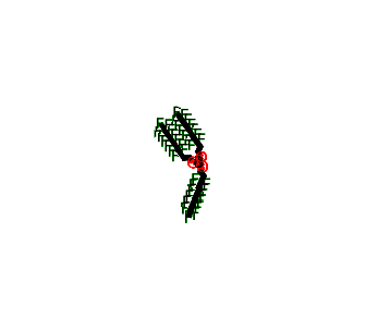 FC(F)(F)C(F)(F)C(F)(F)C(F)(F)C(F)(F)C(F)(F)CCOB(OCCC(F)(F)C(F)(F)C(F)(F)C(F)(F)C(F)(F)C(F)(F)F)OCCC(F)(F)C(F)(F)C(F)(F)C(F)(F)C(F)(F)C(F)(F)F